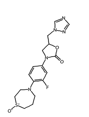 O=C1OC(Cn2cncn2)CN1c1ccc(N2CCC[S+]([O-])CC2)c(F)c1